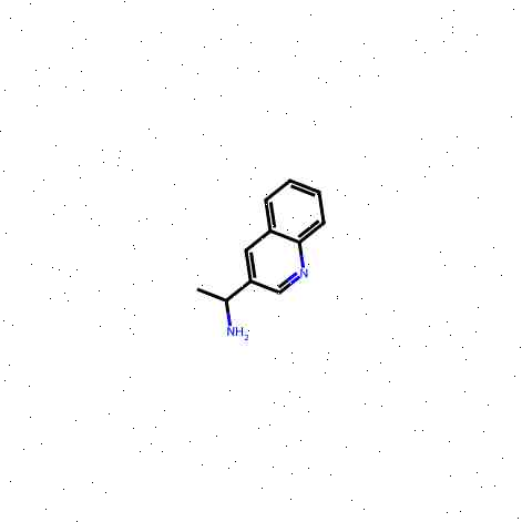 CC(N)c1cnc2ccccc2c1